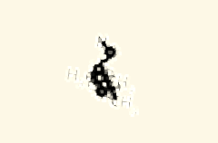 CCOC(=O)CC(C)N1C(=O)c2cc(CCc3cccc(C#N)c3)ccc2N(C)C(=O)C1c1ccccc1